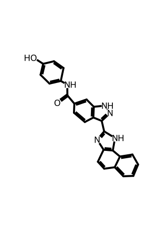 O=C(Nc1ccc(O)cc1)c1ccc2c(-c3nc4ccc5ccccc5c4[nH]3)n[nH]c2c1